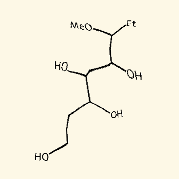 CCC(OC)C(O)C(O)C(O)CCO